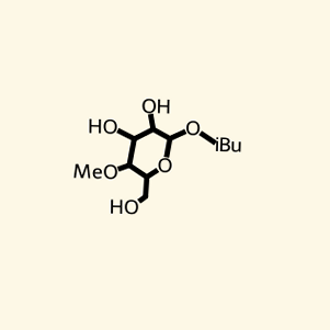 CCC(C)OC1OC(CO)C(OC)C(O)C1O